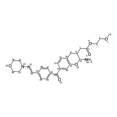 COCCOC(=O)CC1Cc2ccc(C(=O)c3ccc(C=NN4CCOCC4)cc3)cc2OC1N